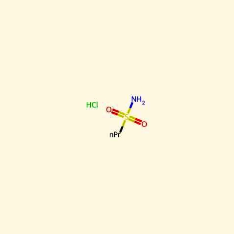 CCCS(N)(=O)=O.Cl